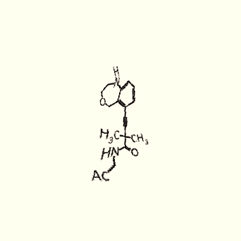 CC(=O)CNC(=O)C(C)(C)C#Cc1cccc2c1COCCN2